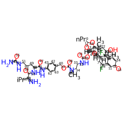 CCCC1O[C@@H]2C[C@H]3[C@@H]4C[C@H](F)C5=CC(=O)C=C[C@]5(C)[C@@]4(F)[C@@H](O)C[C@]3(C)[C@]2(C(=O)COC(=O)NCCN(C)C(=O)OCc2ccc(NC(=O)[C@H](CCCNC(N)=O)NC(=O)[C@@H](N)C(C)C)cc2)O1